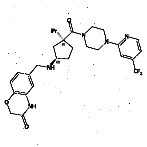 CC(C)[C@]1(C(=O)N2CCN(c3cc(C(F)(F)F)ccn3)CC2)CC[C@@H](NCc2ccc3c(c2)NC(=O)CO3)C1